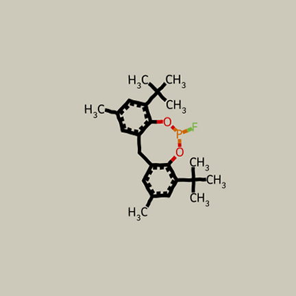 Cc1cc2c(c(C(C)(C)C)c1)OP(F)Oc1c(cc(C)cc1C(C)(C)C)C2